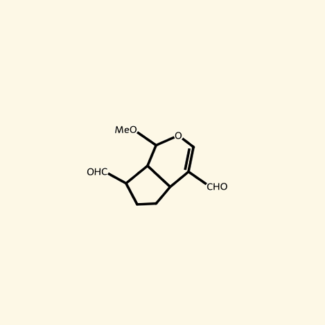 COC1OC=C(C=O)C2CCC(C=O)C12